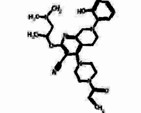 C=CC(=O)N1CCN(c2c(C#N)c(OC(C)CN(C)C)nc3c2CCN(c2ccccc2O)C3)CC1